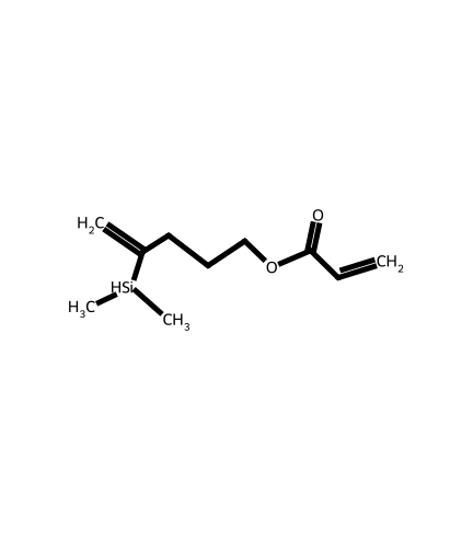 C=CC(=O)OCCCC(=C)[SiH](C)C